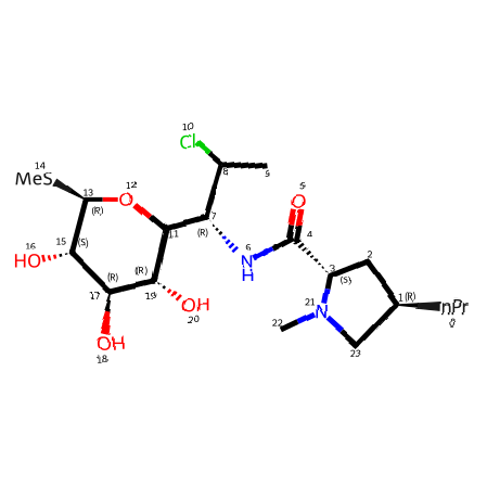 CCC[C@@H]1C[C@@H](C(=O)N[C@@H](C(C)Cl)C2O[C@H](SC)[C@@H](O)[C@H](O)[C@H]2O)N(C)C1